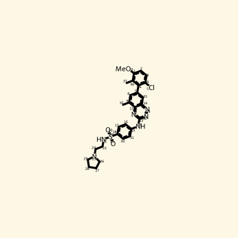 COc1ccc(Cl)c(-c2cc(C)c3nc(Nc4ccc(S(=O)(=O)NCCN5CCCC5)cc4)nnc3c2)c1C